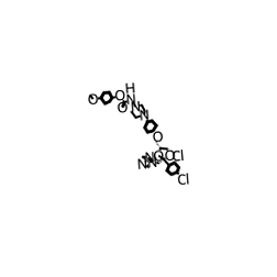 COc1ccc(OC(=O)NN2CCN(c3ccc(OC[C@@H]4CO[C@@](Cn5cncn5)(c5ccc(Cl)cc5Cl)O4)cc3)CC2)cc1